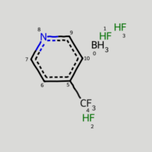 B.F.F.F.FC(F)(F)c1ccncc1